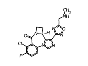 CNCc1nc(-c2ncn3c2[C@@H]2CCN2C(=O)c2c-3ccc(F)c2Cl)no1